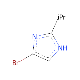 CC(C)c1nc(Br)c[nH]1